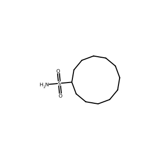 NS(=O)(=O)C1CCCCCCCCCCC1